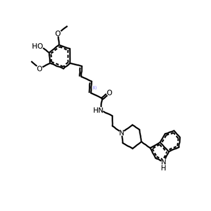 COc1cc(C=C/C=C/C(=O)NCCN2CCC(c3c[nH]c4ccccc34)CC2)cc(OC)c1O